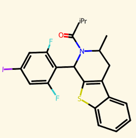 CC(C)C(=O)N1C(C)Cc2c(sc3ccccc23)C1c1c(F)cc(I)cc1F